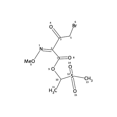 CON=C(C(=O)CBr)C(=O)OC(C)S(C)(=O)=O